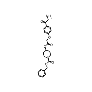 NCC(=O)c1ccc(OCC(=O)OC2CCN(C(=O)OCc3ccccc3)CC2)cc1